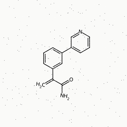 C=C(C(N)=O)c1cccc(-c2cccnc2)c1